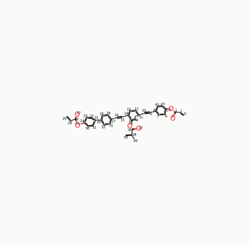 C=CC(=O)Oc1ccc(C#Cc2ccc(C#Cc3ccc(-c4ccc(OC(=O)C=C)cc4)cc3)c(OC(=O)C(=C)C)c2)cc1